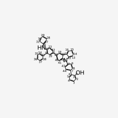 Oc1ccccc1-c1ccc(-n2c3ccccc3c3cc(-c4ccc(Nc5ccccc5)c(-c5ccccc5)c4)ccc32)cc1